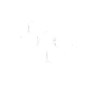 [CH2]C(CF)c1ccc(OCC)c([N+](=O)[O-])c1